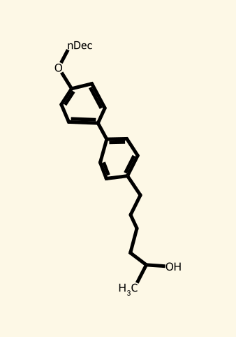 CCCCCCCCCCOc1ccc(-c2ccc(CCCCC(C)O)cc2)cc1